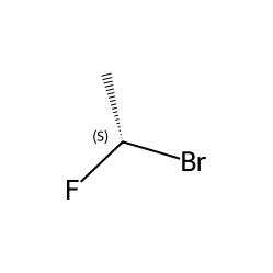 C[C@@H](F)Br